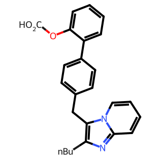 CCCCc1nc2ccccn2c1Cc1ccc(-c2ccccc2OC(=O)O)cc1